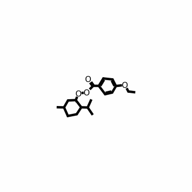 CCOc1ccc(C(=O)OO[C]2CC(C)CCC2C(C)C)cc1